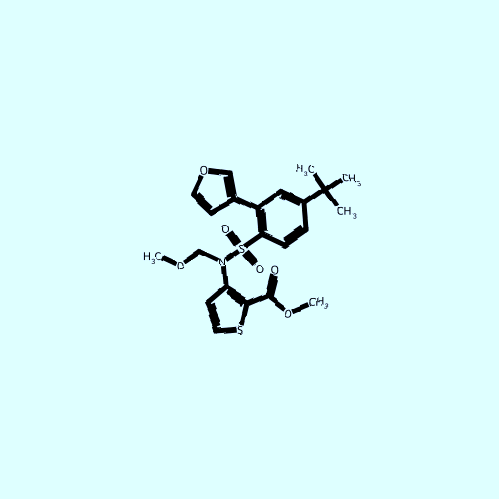 COCN(c1ccsc1C(=O)OC)S(=O)(=O)c1ccc(C(C)(C)C)cc1-c1ccoc1